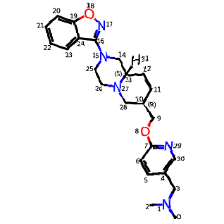 CN(C)Cc1ccc(OC[C@@H]2CC[C@H]3CN(c4noc5ccccc45)CCN3C2)nc1